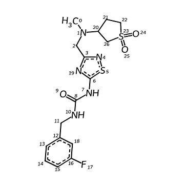 CN(Cc1nsc(NC(=O)NCc2cccc(F)c2)n1)C1CCS(=O)(=O)C1